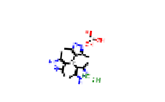 Cc1n[nH]c(C)[c]1[Cr]([c]1c(C)n[nH]c1C)[c]1c(C)n[nH]c1C.Cl.Cl.OB(O)O